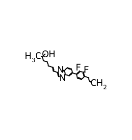 C=CCc1ccc(-c2ccc3nc(C=CCCCC(C)O)cnc3c2)c(F)c1F